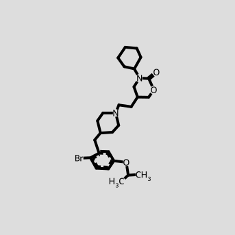 CC(C)Oc1ccc(Br)c(CC2CCN(CCC3COC(=O)N(C4CCCCC4)C3)CC2)c1